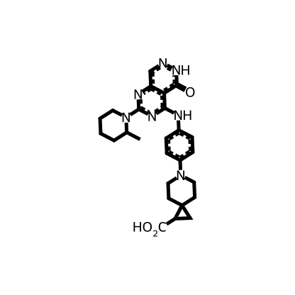 CC1CCCCN1c1nc(Nc2ccc(N3CCC4(CC3)CC4C(=O)O)cc2)c2c(=O)[nH]ncc2n1